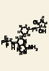 CN1CCC(O)(C#Cc2cccc(-c3cc(NCC(F)(F)F)c4ncnc(N)c4n3)c2)C1=O